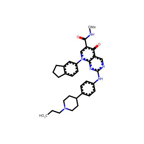 CONC(=O)c1cn(-c2ccc3c(c2)CCC3)c2nc(Nc3ccc(C4CCN(CCC(=O)O)CC4)cc3)ncc2c1=O